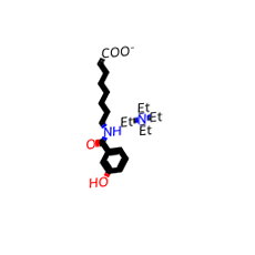 CC[N+](CC)(CC)CC.O=C([O-])CCCCCCCNC(=O)c1cccc(O)c1